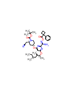 C=C(C[C@@H](C)CC)[C@H](C)Oc1cc(O[C@H]2CCN(C(=O)OC(C)(C)C)[C@H](CC#N)C2)nc(/C(N)=N/OC(=O)C2(c3ccccc3)CCC2)n1